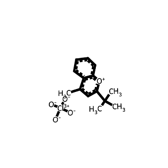 Cc1cc(C(C)(C)C)[o+]c2ccccc12.[O-][Cl+3]([O-])([O-])[O-]